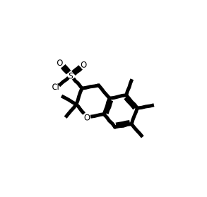 Cc1cc2c(c(C)c1C)CC(S(=O)(=O)Cl)C(C)(C)O2